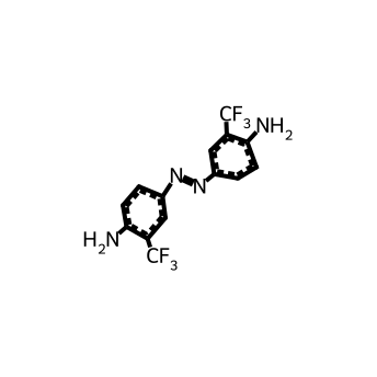 Nc1ccc(N=Nc2ccc(N)c(C(F)(F)F)c2)cc1C(F)(F)F